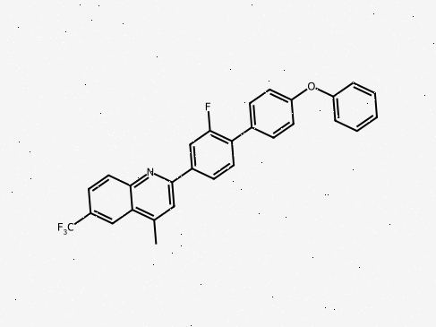 Cc1cc(-c2ccc(-c3ccc(Oc4ccccc4)cc3)c(F)c2)nc2ccc(C(F)(F)F)cc12